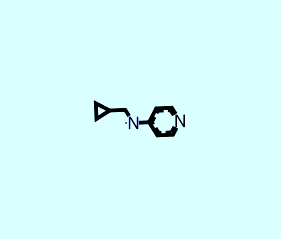 c1cc([N]CC2CC2)ccn1